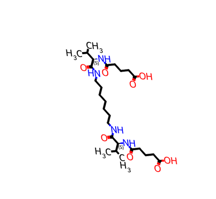 CC(C)[C@H](NC(=O)CCCC(=O)O)C(=O)NCCCCCCCNC(=O)[C@@H](NC(=O)CCCC(=O)O)C(C)C